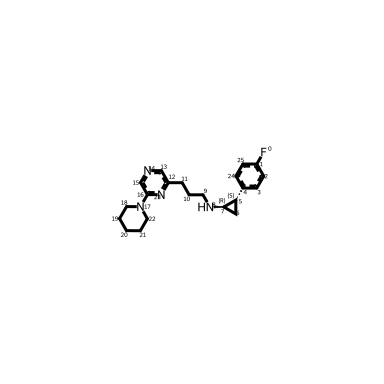 Fc1ccc([C@@H]2C[C@H]2NCCCc2cncc(N3CCCCC3)n2)cc1